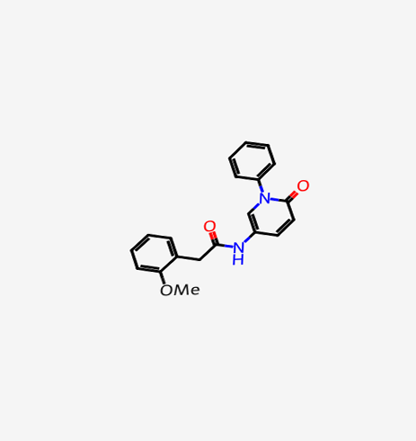 COc1ccccc1CC(=O)Nc1ccc(=O)n(-c2ccccc2)c1